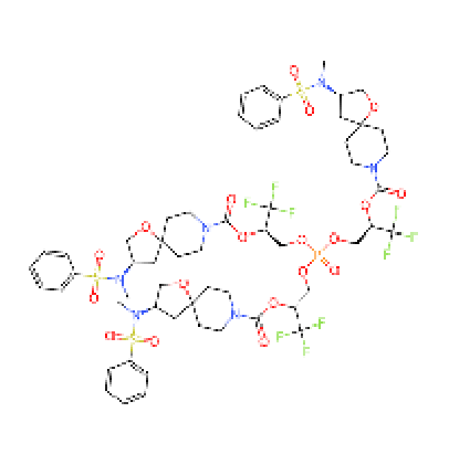 CN([C@H]1COC2(CCN(C(=O)O[C@H](COP(=O)(OC[C@@H](OC(=O)N3CCC4(CC3)C[C@@H](N(C)S(=O)(=O)c3ccccc3)CO4)C(F)(F)F)OC[C@@H](OC(=O)N3CCC4(CC3)C[C@@H](N(C)S(=O)(=O)c3ccccc3)CO4)C(F)(F)F)C(F)(F)F)CC2)C1)S(=O)(=O)c1ccccc1